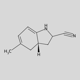 CC1=CC=C2NC(C#N)C[C@@H]2C1